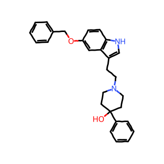 OC1(c2ccccc2)CCN(CCc2c[nH]c3ccc(OCc4ccccc4)cc23)CC1